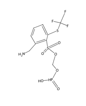 NCc1cccc(SC(F)(F)F)c1S(=O)(=O)OCO[PH](=O)O